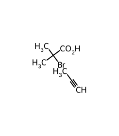 C#CC.CC(C)(Br)C(=O)O